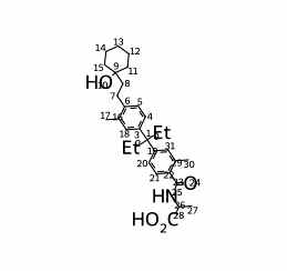 CCC(CC)(c1ccc(CCC2(O)CCCCC2)c(C)c1)c1ccc(C(=O)NC(C)C(=O)O)c(C)c1